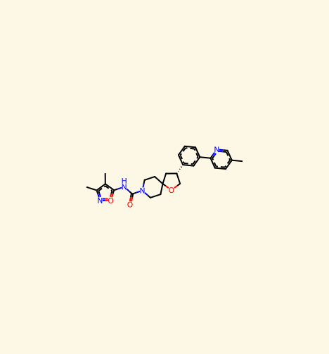 Cc1ccc(-c2cccc([C@@H]3COC4(CCN(C(=O)Nc5onc(C)c5C)CC4)C3)c2)nc1